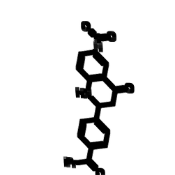 CC(C)C(=O)c1ccc(C2CC(=O)c3cc([SH](=O)=O)ccc3N2)cc1